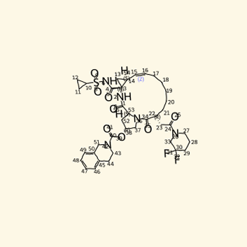 O=C1N[C@]2(C(=O)NS(=O)(=O)C3CC3)C[C@H]2/C=C\CCCCC[C@H](CC(=O)N2CCCC(F)(F)C2)C(=O)N2C[C@H](OC(=O)N3CCc4ccccc4C3)C[C@@H]12